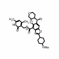 CCN(c1cc2oc(C3CCC(OC)CC3)nc2c(C(=O)NCc2c(C)cc(C)[nH]c2=O)c1C)C1CCOCC1